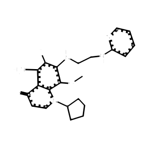 COc1c(NCCNc2ccccn2)c(F)c(N)c2c(=O)ccn(C3CCCC3)c12